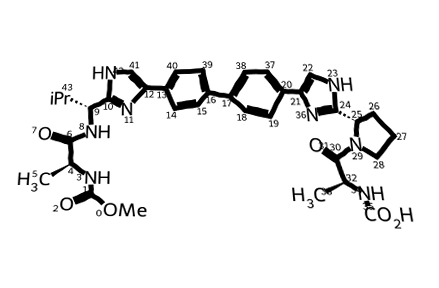 COC(=O)N[C@@H](C)C(=O)N[C@@H](c1nc(-c2ccc(-c3ccc(-c4c[nH]c([C@@H]5CCCN5C(=O)[C@H](C)NC(=O)O)n4)cc3)cc2)c[nH]1)C(C)C